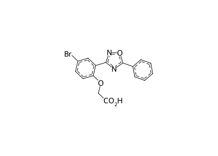 O=C(O)COc1ccc(Br)cc1-c1noc(-c2ccccc2)n1